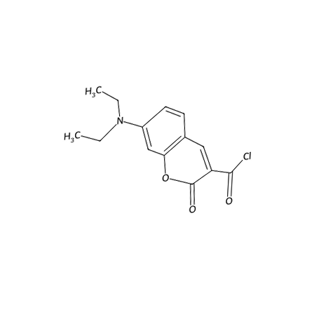 CCN(CC)c1ccc2cc(C(=O)Cl)c(=O)oc2c1